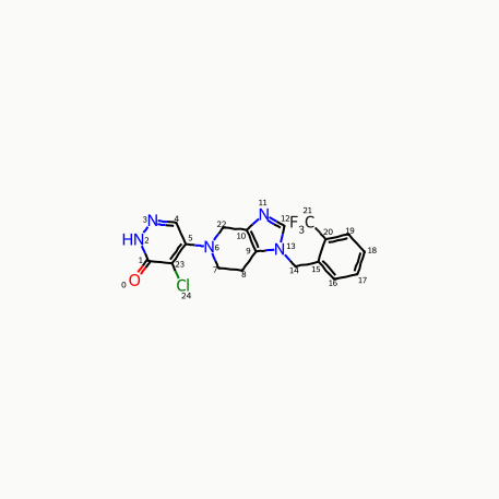 O=c1[nH]ncc(N2CCc3c(ncn3Cc3ccccc3C(F)(F)F)C2)c1Cl